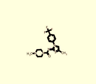 Cc1cn(-c2ccc(C(F)(F)F)cc2)/c(=N/C(=O)N2CCN(C)CC2)s1